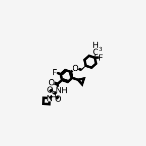 C[C@]1(F)CC[C@@H](COc2cc(F)c(C(=O)NS(=O)(=O)N3CCC3)cc2C2CC2)CC1